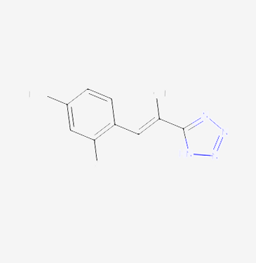 C/C(=C\c1ccc(C)cc1C)c1nnn[nH]1